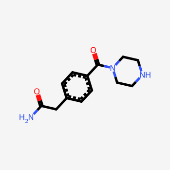 NC(=O)Cc1ccc(C(=O)N2CCNCC2)cc1